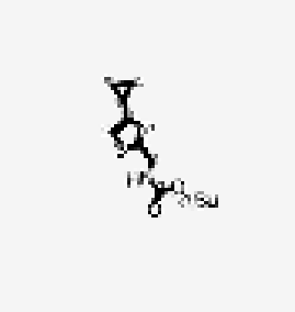 CC(C)(C)OC(=O)NCc1nc(C2CC2)cs1